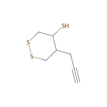 C#CCC1CSSCC1S